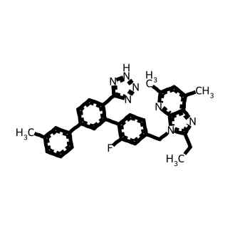 CCc1nc2c(C)cc(C)nc2n1Cc1ccc(-c2cc(-c3cccc(C)c3)ccc2-c2nn[nH]n2)c(F)c1